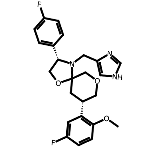 COc1ccc(F)cc1[C@H]1COCC2(C1)OC[C@H](c1ccc(F)cc1)N2Cc1c[nH]cn1